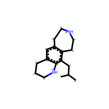 CC(C)Cc1c2c(cc3c1NCCC3)CCNCC2